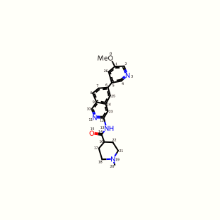 COc1cncc(-c2ccc3cnc(NC(=O)C4CCN(C)CC4)cc3c2)c1